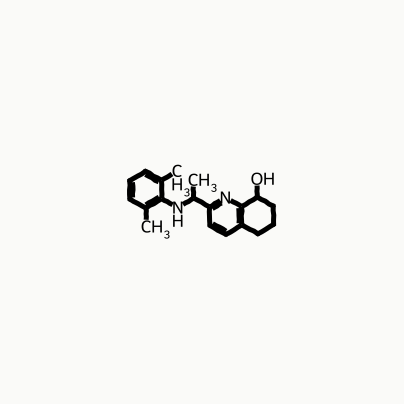 Cc1cccc(C)c1NC(C)c1ccc2c(n1)C(O)CCC2